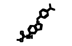 COC(=O)Nc1ccc2c(ccn2Cc2ccc(C(C)C)cc2)c1